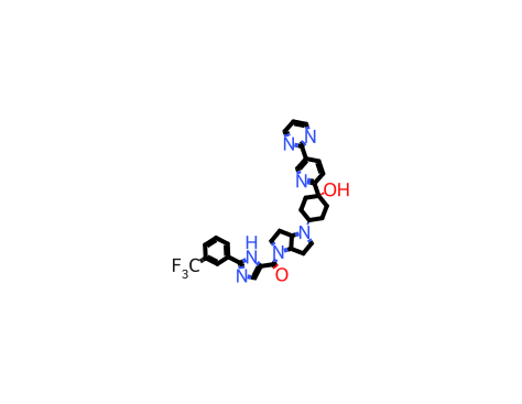 O=C(c1cnc(-c2cccc(C(F)(F)F)c2)[nH]1)N1CCC2C1CCN2[C@H]1CC[C@](O)(c2ccc(-c3ncccn3)cn2)CC1